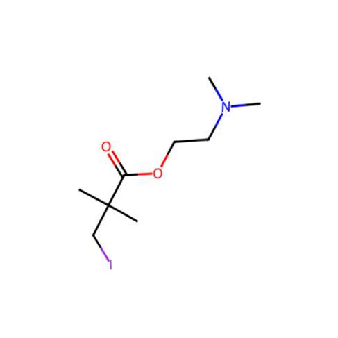 CN(C)CCOC(=O)C(C)(C)CI